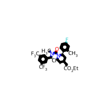 CCOC(=O)CC1CCN(C(=O)N(C)[C@H](C)c2cc(C(F)(F)F)cc(C(F)(F)F)c2)[C@@H](c2ccc(F)cc2C)C1